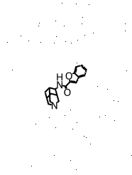 O=C(NC1C2CC3CC1CN(C3)C2)c1cc2ccccc2o1